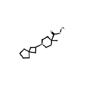 COC(=O)C1(F)CCN(C2CC3(CCCC3)C2)CC1